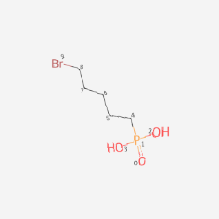 O=P(O)(O)CCCCCBr